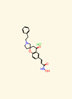 Cl.O=C(/C=C/c1ccc2c(c1)C(=O)CC1(CCN(CCc3ccccc3)C1)O2)NO